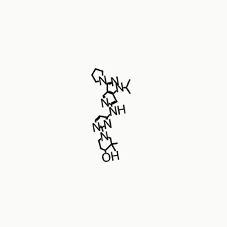 CC(C)n1nc(N2CCCC2)c2cnc(Nc3ccnc(N4CCC(O)C(C)(C)C4)n3)cc21